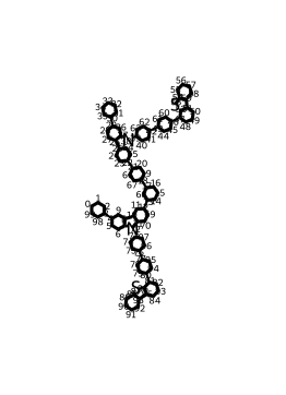 c1ccc(-c2ccc3c(c2)c2cc(-c4cccc(-c5ccc(-c6ccc7c8ccc(-c9ccccc9)cc8n(-c8ccc(-c9ccc(-c%10cccc%11c%10sc%10ccccc%10%11)cc9)cc8)c7c6)cc5)c4)ccc2n3-c2ccc(-c3ccc(-c4cccc5c4sc4ccccc45)cc3)cc2)cc1